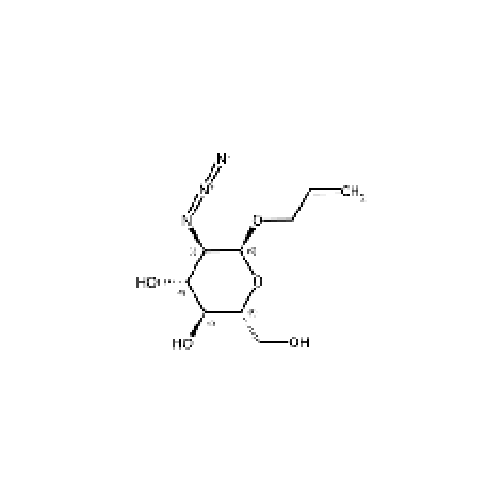 C=CCO[C@H]1O[C@H](CO)[C@@H](O)[C@H](O)[C@H]1N=[N+]=[N-]